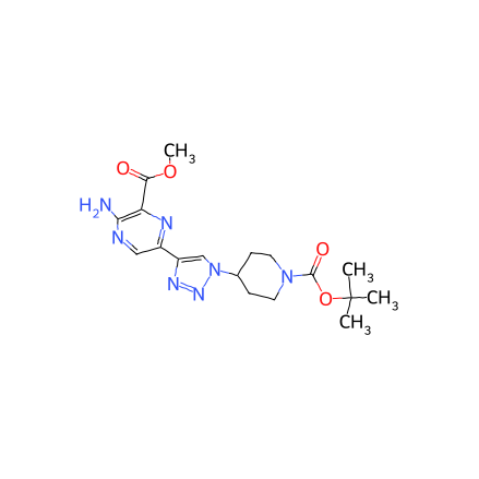 COC(=O)c1nc(-c2cn(C3CCN(C(=O)OC(C)(C)C)CC3)nn2)cnc1N